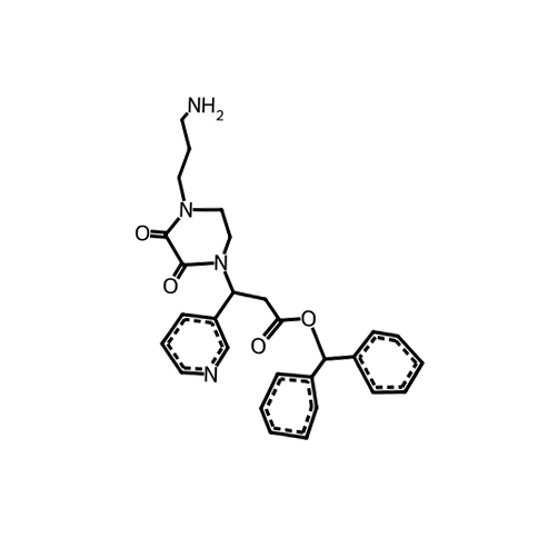 NCCCN1CCN(C(CC(=O)OC(c2ccccc2)c2ccccc2)c2cccnc2)C(=O)C1=O